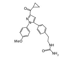 COc1ccc(-n2nc(C(=O)C3CC3)cc2-c2ccc(CCNC(N)=O)cc2)cc1